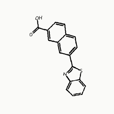 O=C(O)c1ccc2ccc(-c3nc4ccccc4s3)cc2c1